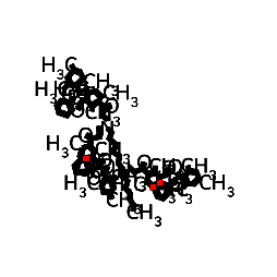 CCCCCCCN(CCCCCCN(CCC(=O)c1c(C)cc(C)c(C(=O)P(=O)(C(=O)c2c(C)cc(C)cc2C)c2ccccc2)c1C)CCC(=O)c1c(C)cc(C)c(C(=O)P(=O)(C(=O)c2c(C)cc(C)cc2C)c2ccccc2)c1C)CCC(=O)c1c(C)cc(C)c(C(=O)P(=O)(C(=O)c2c(C)cc(C)cc2C)c2ccccc2)c1C